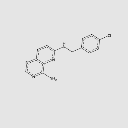 Nc1ncnc2ccc(NCc3ccc(Cl)cc3)nc12